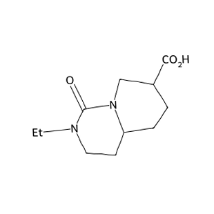 CCN1CCC2CCC(C(=O)O)CN2C1=O